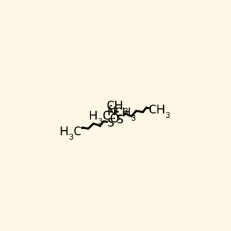 CCCCCCSOSCCCCCC.CN(C)C